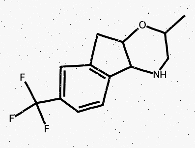 CC1CNC2c3ccc(C(F)(F)F)cc3CC2O1